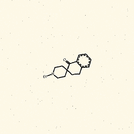 CCN1CCC2(CCc3ccccc3C2=O)CC1